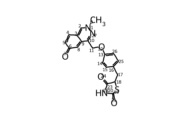 Cn1cc2ccc(=O)cc-2c(COc2ccc(CC3SC(=O)NC3=O)cc2)n1